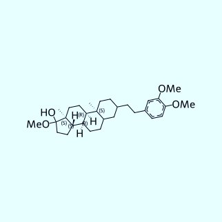 COc1ccc(CCC2CC[C@@]3(C)C(CC[C@@H]4[C@H]3CC[C@@]3(C)[C@H]4CCC3(O)OC)C2)cc1OC